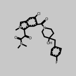 CN(C)C(=O)C(=O)c1c2cc(C(=O)N3CCC(O)(Cc4ccc(F)cc4)CC3)c(Cl)cc2cn1C